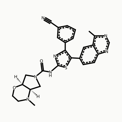 Cc1ncnc2ccc(-c3sc(NC(=O)N4C[C@@H]5OCCN(C)[C@@H]5C4)nc3-c3cccc(C#N)c3)cc12